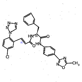 Cc1nc(-c2ccc(NC(=O)[C@H](Cc3ccccc3)NC(=O)/C=C/c3cc(Cl)ccc3-n3cnnn3)cc2)no1